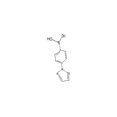 OB(O)c1ccc(-n2nccn2)cc1